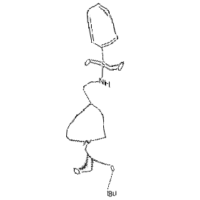 CC(C)(C)OC(=O)N1CCC(CNS(=O)(=O)c2ccccc2)CC1